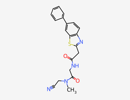 CN(CC#N)C(=O)CNC(=O)Cc1nc2ccc(-c3ccccc3)cc2s1